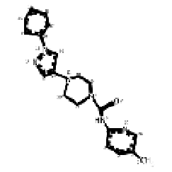 Cc1ccc(NC(=O)N2CCN(c3cnn(-c4ccccc4)c3)CC2)nc1